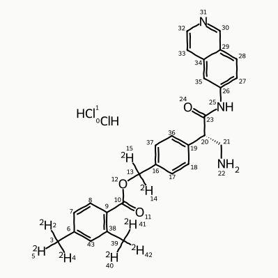 Cl.Cl.[2H]C([2H])([2H])c1ccc(C(=O)OC([2H])([2H])c2ccc([C@@H](CN)C(=O)Nc3ccc4cnccc4c3)cc2)c(C([2H])([2H])[2H])c1